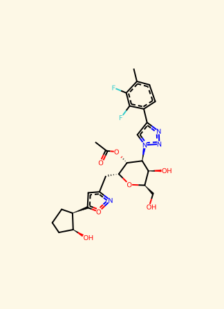 CC(=O)O[C@@H]1[C@@H](n2cc(-c3ccc(C)c(F)c3F)nn2)[C@@H](O)[C@@H](CO)O[C@@H]1Cc1cc([C@@H]2CCC[C@@H]2O)on1